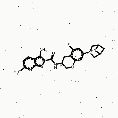 Cc1ccc2c(N)c(C(=O)N[C@@H]3COc4cc(N5CC6CC(C5)N6)cc(F)c4C3)sc2n1